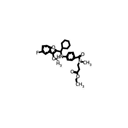 CCOC(=O)CCN(C)C(=O)c1ccc(NC(c2oc3ccc(F)cc3c2OC)C2CCCCC2)cc1